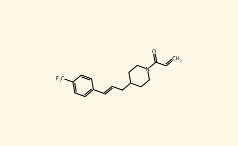 C=CC(=O)N1CCC(CC=Cc2ccc(C(F)(F)F)cc2)CC1